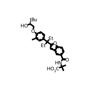 CCC(CC)(c1ccc(OC[C@@H](O)C(C)(C)C)c(C)c1)c1cc2cc(C(=O)NC(C)(C)C(=O)O)ccc2o1